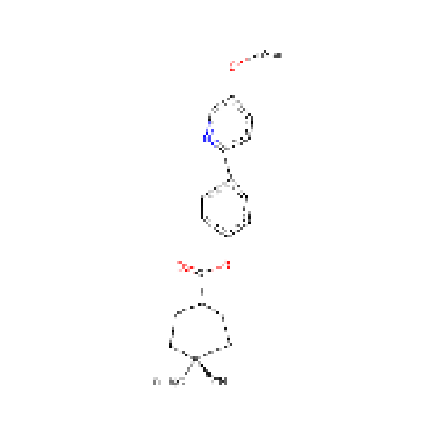 CCCCCCCCCOc1ccc(-c2ccc(OC(=O)[C@H]3CC[C@@](C#N)(CCCCCCC)CC3)cc2)nc1